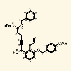 C=CCc1c(OCc2ccc(OC)cc2)cccc1C(O)C#CCC[C@H](CCCCC)OCc1ccccc1